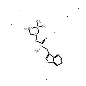 C[N+](C)(C)C[C@H](CC(=O)O)OC(=O)[C@@H](N)Cc1c[nH]c2ccccc12